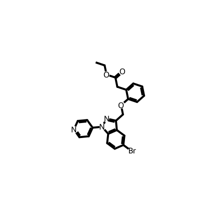 CCOC(=O)Cc1ccccc1OCc1nn(-c2ccncc2)c2ccc(Br)cc12